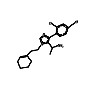 CC(N)c1c(-c2ccc(Cl)cc2Cl)ncn1CCC1=CCCCC1